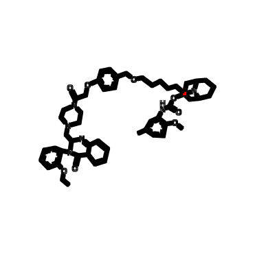 CCOc1ccccc1N1C(=O)C2C=CC=CC2=NC1CN1CCN(C(=O)COc2ccc(COCCCCCCN3C4CCCC3CC(OC(=O)Nc3cc(C)ccc3OC)C4)cc2)CC1